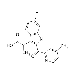 Cc1ccnc(C(=O)c2[nH]c3cc(F)ccc3c2C(C)C(=O)O)c1